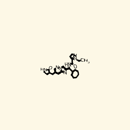 CCn1nccc1C(=O)N[C@H](c1cn2ncc(CC3CCNC3=O)cc2n1)C1CCCCCC1